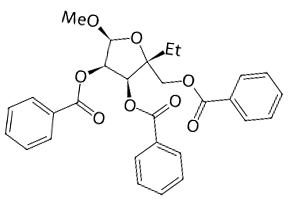 CC[C@]1(COC(=O)c2ccccc2)O[C@H](OC)[C@H](OC(=O)c2ccccc2)[C@@H]1OC(=O)c1ccccc1